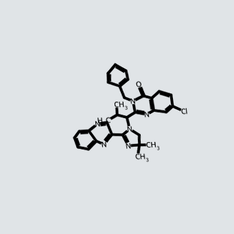 CC(C)C(c1nc2cc(Cl)ccc2c(=O)n1Cc1ccccc1)N1CC(C)(C)N=C1c1cnc2ccccc2n1